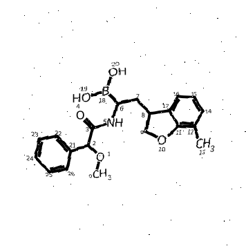 COC(C(=O)NC(CC1COc2c(C)cccc21)B(O)O)c1ccccc1